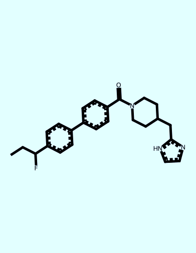 CCC(F)c1ccc(-c2ccc(C(=O)N3CCC(Cc4ncc[nH]4)CC3)cc2)cc1